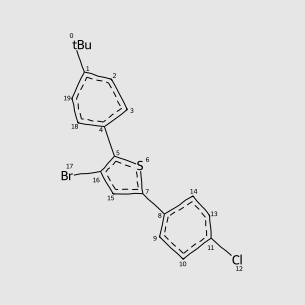 CC(C)(C)c1ccc(-c2sc(-c3ccc(Cl)cc3)cc2Br)cc1